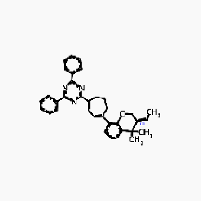 C/C=C1\COc2c(C3=CC=C(c4nc(-c5ccccc5)nc(-c5ccccc5)n4)CCC3)cccc2C1(C)C